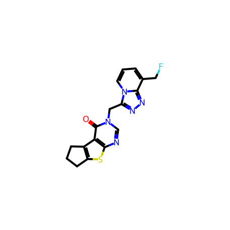 O=c1c2c3c(sc2ncn1Cc1nnc2c(CF)cccn12)CCC3